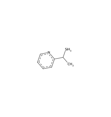 CC([SiH3])c1ccccn1